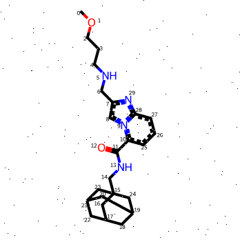 COCCCNCc1cn2c(C(=O)NCC34CC5CC(CC(C5)C3)C4)cccc2n1